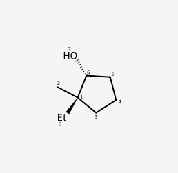 CC[C@]1(C)CCC[C@H]1O